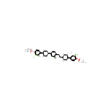 CCCCOc1ccc(C2CCC(CCc3ccc(C4CCC(c5ccc(OCCCC)c(F)c5F)CC4)c(F)c3F)CC2)c(F)c1F